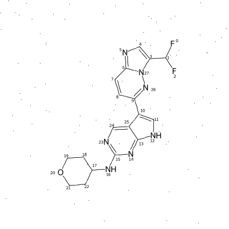 FC(F)c1cnc2ccc(-c3c[nH]c4nc(NC5CCOCC5)ncc34)nn12